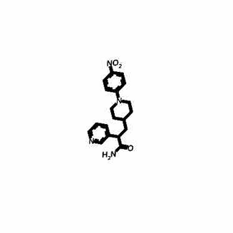 NC(=O)C(CC1CCN(c2ccc([N+](=O)[O-])cc2)CC1)c1cccnc1